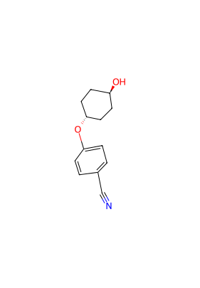 N#Cc1ccc(O[C@H]2CC[C@H](O)CC2)cc1